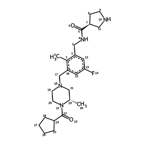 Cc1c(CNC(=O)[C@H]2CCNC2)cc(F)cc1CN1CCN(C(=O)C2CCCC2)[C@@H](C)C1